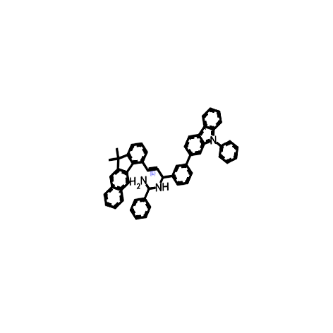 CC1(C)c2cc3ccccc3cc2-c2c(/C=C/C(NC(N)c3ccccc3)c3cccc(-c4ccc5c6ccccc6n(-c6ccccc6)c5c4)c3)cccc21